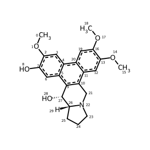 COc1cc2c(cc1O)c1c(c3cc(OC)c(OC)cc32)CN2CCC[C@@H]2[C@@H]1O